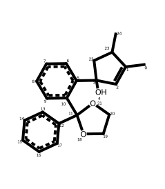 CC1=CC(O)(c2ccccc2C2(c3ccccc3)OCCO2)CC1C